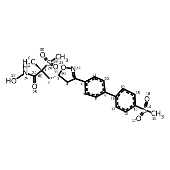 C[C@@](C[C@H]1CC(c2ccc(-c3ccc(S(C)(=O)=O)cc3)cc2)=NO1)(C(=O)NO)S(C)(=O)=O